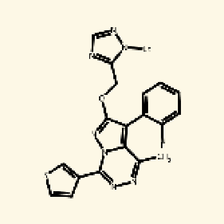 CCn1ncnc1COc1nn2c(-c3ccsc3)nnc(C)c2c1-c1ccccc1F